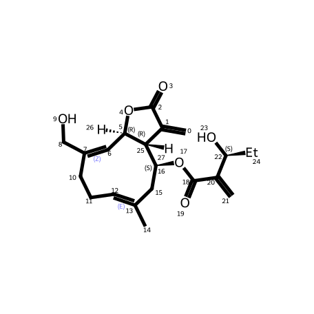 C=C1C(=O)O[C@@H]2/C=C(\CO)CC/C=C(\C)C[C@H](OC(=O)C(=C)[C@@H](O)CC)[C@@H]12